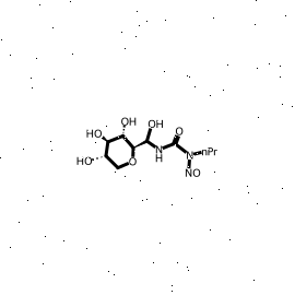 CCCN(N=O)C(=O)NC(O)[C@H]1OC[C@H](O)[C@@H](O)[C@@H]1O